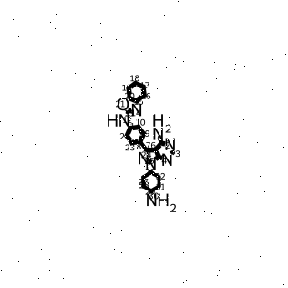 Nc1ncnc2c1c(-c1ccc(Nc3nc4ccccc4o3)cc1)nn2C1CCC(N)CC1